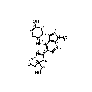 CCn1ncc2c(NC3CCC(O)CC3)c(C3=NOC(CO)(CO)C3)cnc21